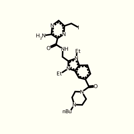 CCCCN1CCN(C(=O)c2ccc3c(c2)[n+](CC)c(CNC(=O)c2nc(CI)cnc2N)n3CC)CC1